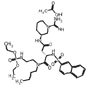 CC(=O)O.CCCCN(CCNP(=O)(OCC)OCC)C(=O)[C@H](CC(=O)N[C@H]1CCCN(C(=N)N)C1)NS(=O)(=O)c1ccc2ccccc2c1